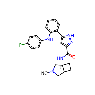 N#CN1CC2CC[C@]2(NC(=O)c2cc(-c3ccccc3Nc3ccc(F)cc3)[nH]n2)C1